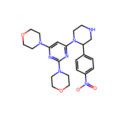 O=[N+]([O-])c1ccc(C2CNCCN2c2cc(N3CCOCC3)nc(N3CCOCC3)n2)cc1